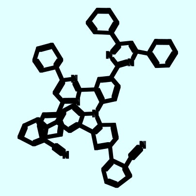 N#Cc1ccccc1-c1ccc2c(c1)c1cc(-c3ccccc3C#N)ccc1n2-c1ccc(-c2nc(-c3ccccc3)cc(-c3ccccc3)n2)cc1-c1nc(-c2ccccc2)cc(-c2ccccc2)n1